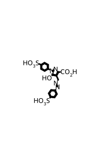 O=C(O)c1nn(-c2ccc(S(=O)(=O)O)cc2)c(O)c1CN=Nc1ccc(S(=O)(=O)O)cc1